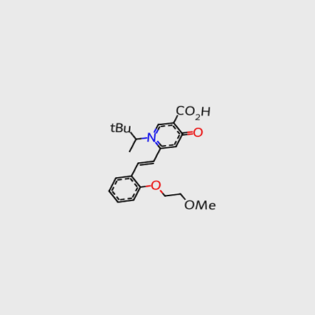 COCCOc1ccccc1/C=C/c1cc(=O)c(C(=O)O)cn1C(C)C(C)(C)C